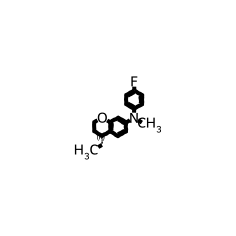 CC[C@@H]1CCOc2cc(N(C)c3ccc(F)cc3)ccc21